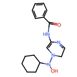 O=C(NC1=CN(N(O)C2CCCCC2)CC=N1)c1ccccc1